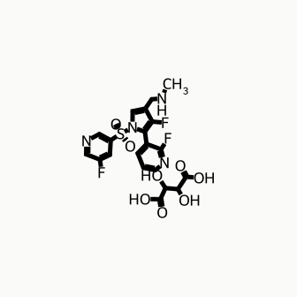 CNCc1cn(S(=O)(=O)c2cncc(F)c2)c(-c2cccnc2F)c1F.O=C(O)C(O)C(O)C(=O)O